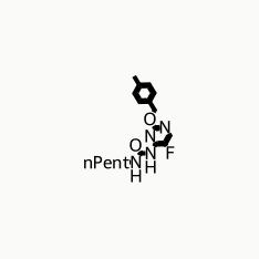 CCCCCNC(=O)Nc1nc(OCc2ccc(C)cc2)ncc1F